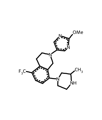 COc1ncc(N2CCc3c(C(F)(F)F)ccc(N4CCNC(C)C4)c3C2)cn1